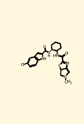 CN1CC2N=C(C(=O)N[C@@H]3CCCC[C@@H]3NC(=O)c3cc4cc(Cl)ccc4[nH]3)SC2C1